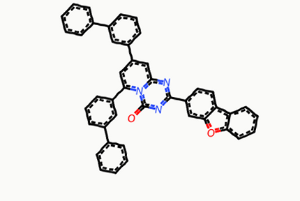 O=c1nc(-c2ccc3c(c2)oc2ccccc23)nc2cc(-c3cccc(-c4ccccc4)c3)cc(-c3cccc(-c4ccccc4)c3)n12